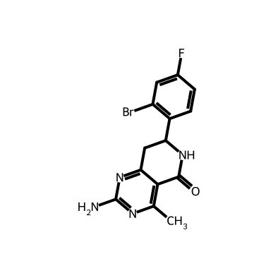 Cc1nc(N)nc2c1C(=O)NC(c1ccc(F)cc1Br)C2